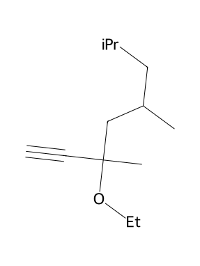 C#CC(C)(CC(C)CC(C)C)OCC